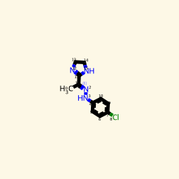 C/C(=N\Nc1ccc(Cl)cc1)C1=NCCN1